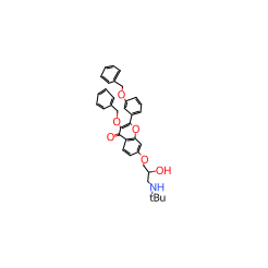 CC(C)(C)NCC(O)COc1ccc2c(=O)c(OCc3ccccc3)c(-c3cccc(OCc4ccccc4)c3)oc2c1